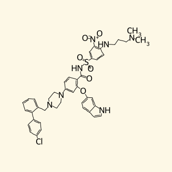 CN(C)CCCNc1ccc(S(=O)(=O)NC(=O)c2ccc(N3CCN(Cc4ccccc4-c4ccc(Cl)cc4)CC3)cc2Oc2ccc3cc[nH]c3c2)cc1[N+](=O)[O-]